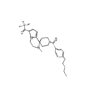 CCCCCc1ccc(C(=O)N2CCC3(CC2)c2ccc(C(=O)C(F)(F)F)n2CCN3C)cc1